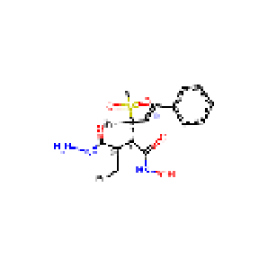 CC(C)C[C@@H](C(=O)NN)[C@@H](C(=O)NO)C(/C=C/c1ccccc1)(C(C)C)S(C)(=O)=O